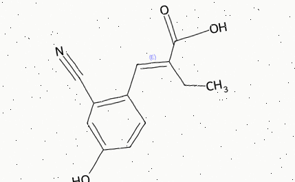 CC/C(=C\c1ccc(O)cc1C#N)C(=O)O